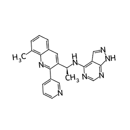 Cc1cccc2cc([C@H](C)Nc3ncnc4[nH]ncc34)c(-c3cccnc3)nc12